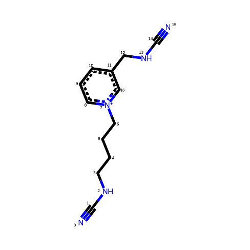 N#CNCCCC[n+]1cccc(CNC#N)c1